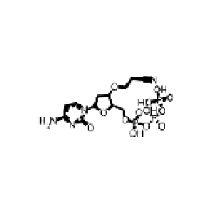 N#CCCOC1C[C@H](n2ccc(N)nc2=O)O[C@@H]1COP(=O)(O)OP(=O)(O)OP(=O)(O)O